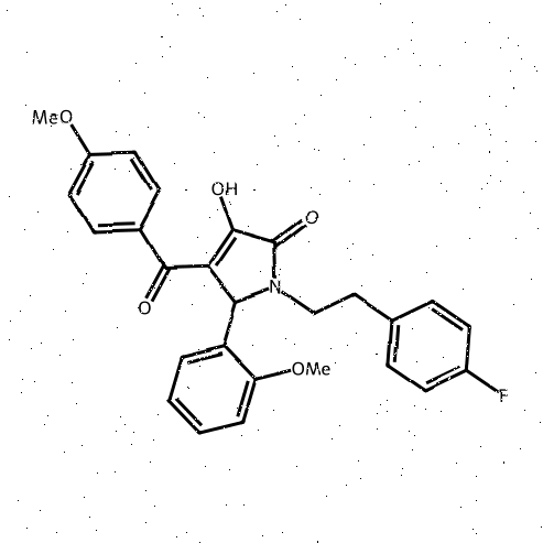 COc1ccc(C(=O)C2=C(O)C(=O)N(CCc3ccc(F)cc3)C2c2ccccc2OC)cc1